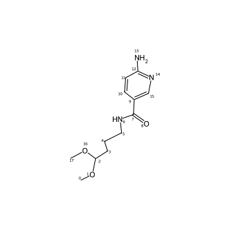 COC(CCCNC(=O)c1ccc(N)nc1)OC